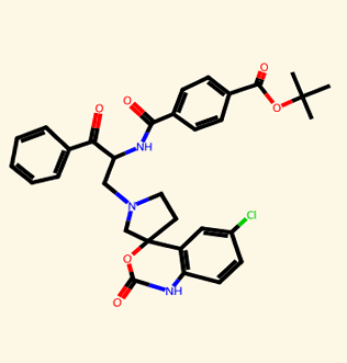 CC(C)(C)OC(=O)c1ccc(C(=O)NC(CN2CCC3(C2)OC(=O)Nc2ccc(Cl)cc23)C(=O)c2ccccc2)cc1